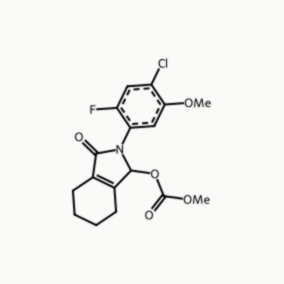 COC(=O)OC1C2=C(CCCC2)C(=O)N1c1cc(OC)c(Cl)cc1F